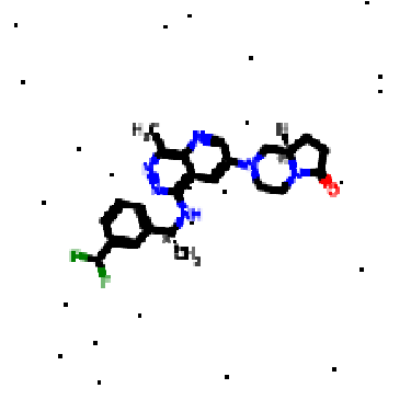 Cc1nnc(N[C@H](C)c2cccc(C(F)F)c2)c2cc(N3CCN4C(=O)CC[C@@H]4C3)cnc12